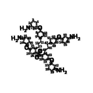 Nc1cccc(Oc2ccc(CCCc3cc(Oc4cccc(N)c4)ccc3S(=O)(=O)c3ccc(Oc4cccc(N)c4)cc3CCCc3ccc(Oc4cccc(N)c4)cc3)cc2)c1